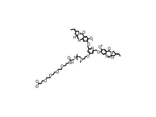 C/C=C1\C[C@H]2C=Nc3cc(OCc4cc(OCCN(C)CC(C)(C)SCC(=O)NCCOCCOCCOCCOCCC(=O)OC)cc(COc5cc6c(cc5OC)C(=O)N5C/C(=C/C)C[C@H]5C=N6)n4)c(OC)cc3C(=O)N2C1